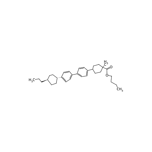 CCCCOC(=O)C1(C)CCC(c2ccc(-c3ccc([C@H]4CC[C@H](CCC)CC4)cc3)cc2)CC1